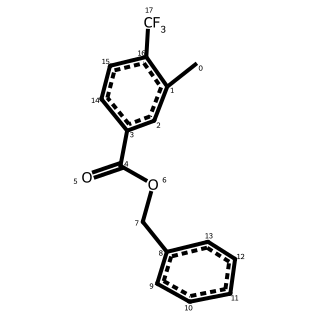 Cc1cc(C(=O)OCc2ccccc2)ccc1C(F)(F)F